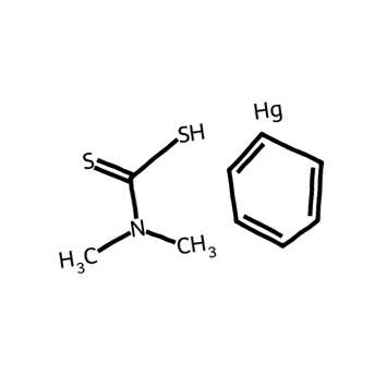 CN(C)C(=S)S.[Hg].c1ccccc1